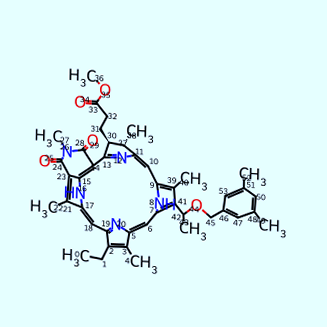 CCC1=C(C)c2cc3[nH]c(cc4nc(c5c6[nH]c(cc1n2)c(C)c6C(=O)N(C)C5=O)[C@@H](CCC(=O)OC)[C@@H]4C)c(C)c3C(C)OCc1cc(C)cc(C)c1